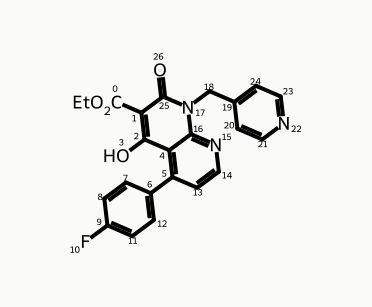 CCOC(=O)c1c(O)c2c(-c3ccc(F)cc3)ccnc2n(Cc2ccncc2)c1=O